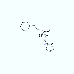 O=S(=O)(CCCC1CCCCC1)O/N=C1/CC=CS1